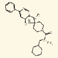 CC[C@@H](n1cnc(-c2ccccc2)cc1=O)C1(O)CCN(C(=O)[C@H](C)CC2CCCCC2)CC1